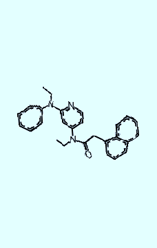 CCN(C(=O)Cc1cccc2ccccc12)c1ccnc(N(CC)c2ccccc2)c1